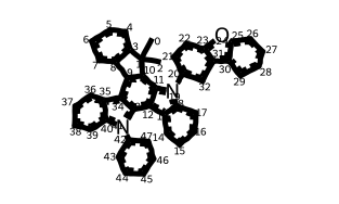 CC1(C)c2ccccc2-c2c1c1c(c3ccccc3n1-c1ccc3oc4ccccc4c3c1)c1c2c2ccccc2n1-c1ccccc1